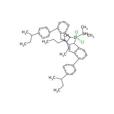 CCCC(C)C1=Cc2c(-c3ccc(C(C)CC)cc3)cccc2[CH]1[Zr]([Cl])([Cl])([CH]1C(CC)=Cc2c(-c3ccc(C(C)CC)cc3)cccc21)[SiH](C)C